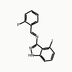 Fc1ccccc1C=Nc1n[nH]c2cccc(I)c12